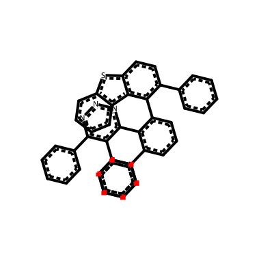 c1ccc(-c2cccc(-c3c(-c4ccccc4)ccc4sc5ccccc5c34)c2-c2nnnc(-c3ccccc3)c2-c2ccccn2)cc1